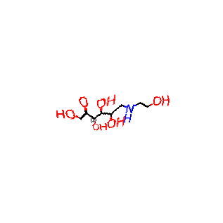 O=C(CO)[C@@H](O)C(O)C(O)CNCCO